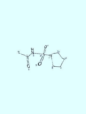 CC(=O)NS(=O)(=O)N1CCCC1